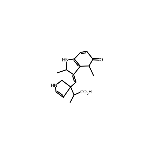 CC1NC2=C(C1=CC1(C(C)C(=O)O)C=CNC1)C(C)C(=O)C=C2